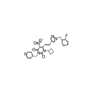 O=c1c([N+](=O)[O-])c(C=Cc2cnn(Cc3ccccc3F)c2)n(C2CCC2)c(=O)n1Cc1ccncc1